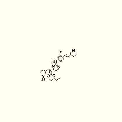 COc1cccc(CN(C(=O)OC(C(C)C)C(C)C)c2ccnc(Nc3ccc(OCC4CCCN(C)C4)c(F)c3)n2)c1